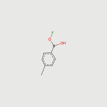 Cc1ccc(B(O)OF)cc1